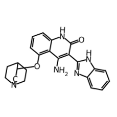 Nc1c(-c2nc3ccccc3[nH]2)c(=O)[nH]c2cccc(OC3CN4CCC3CC4)c12